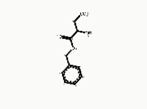 O=C(O)CC(O)C(=O)OCc1ccccc1